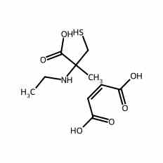 CCNC(C)(CS)C(=O)O.O=C(O)/C=C\C(=O)O